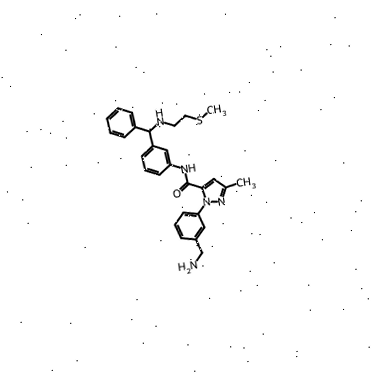 CSCCNC(c1ccccc1)c1cccc(NC(=O)c2cc(C)nn2-c2cccc(CN)c2)c1